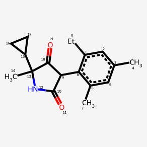 CCc1cc(C)cc(C)c1C1C(=O)NC(C)(C2CC2)C1=O